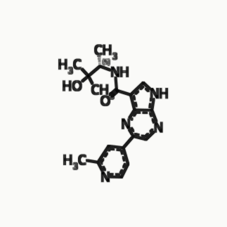 Cc1cc(-c2cnc3[nH]cc(C(=O)N[C@@H](C)C(C)(C)O)c3n2)ccn1